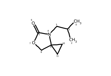 CC(C)CN1C(=O)OCC12CC2